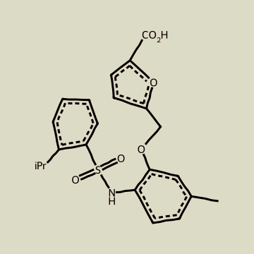 Cc1ccc(NS(=O)(=O)c2ccccc2C(C)C)c(OCc2ccc(C(=O)O)o2)c1